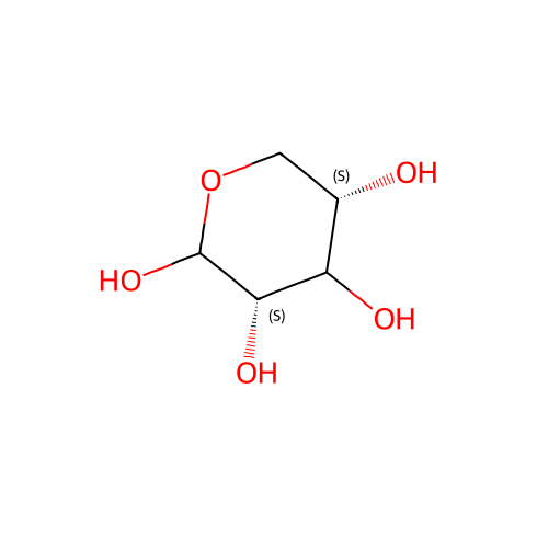 OC1OC[C@H](O)C(O)[C@@H]1O